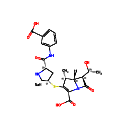 C[C@@H](O)[C@H]1C(=O)N2C(C(=O)O)=C(S[C@@H]3CN[C@H](C(=O)Nc4cccc(C(=O)O)c4)C3)[C@H](C)[C@H]12.[NaH]